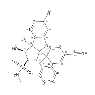 CN(C)S(=O)(=O)[C@@H]1[C@@H](c2ccccc2)[C@]2(C3(C)C=CC(C#N)=CC3)Oc3cc(Cl)cnc3[C@]2(O)[C@@H]1O